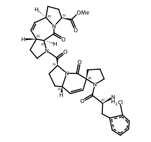 COC(=O)[C@@H]1CC[C@@H]2C=C[C@H]3CCN(C(=O)[C@@H]4CC[C@H]5C=C[C@]6(CCCN6C(=O)[C@@H](N)Cc6ccccc6Cl)C(=O)N54)[C@@H]3C(=O)N21